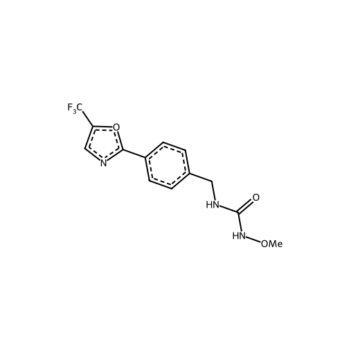 CONC(=O)NCc1ccc(-c2ncc(C(F)(F)F)o2)cc1